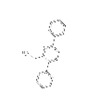 NCc1nc(-c2ccccc2)ccc1-c1ccccc1